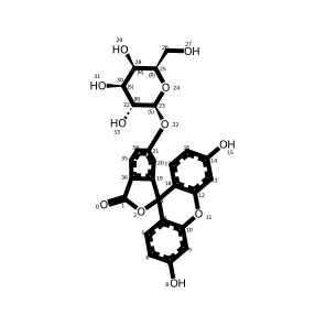 O=C1OC2(c3ccc(O)cc3Oc3cc(O)ccc32)c2cc(O[C@@H]3O[C@H](CO)[C@H](O)[C@H](O)[C@H]3O)ccc21